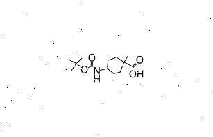 CC(C)(C)OC(=O)NC1CCC(C)(C(=O)O)CC1